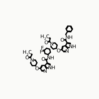 C=CC(=O)N1CCC(Oc2cnc3[nH]cc(C(=O)NC4CCCC(F)(F)C4)c3c2)CC1.C=CC(=O)N1CCC(Oc2cnc3[nH]cc(C(=O)NCc4ccccc4)c3c2)CC1